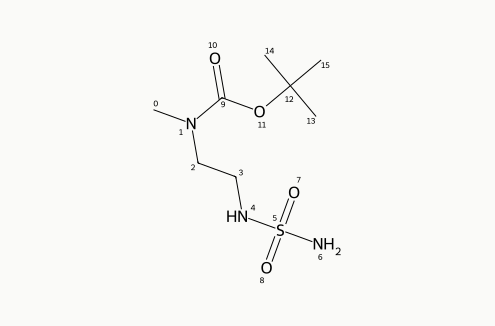 CN(CCNS(N)(=O)=O)C(=O)OC(C)(C)C